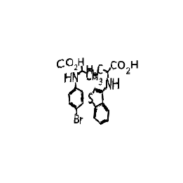 CC(Nc1ccc(Br)cc1)C(=O)O.CC(Nc1csc2ccccc12)C(=O)O